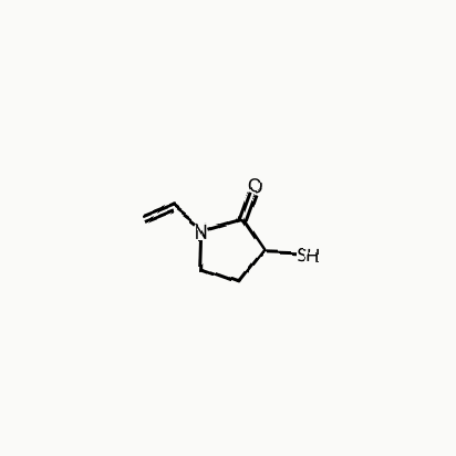 C=CN1CCC(S)C1=O